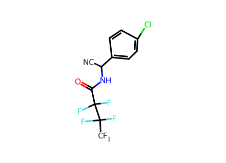 N#CC(NC(=O)C(F)(F)C(F)(F)C(F)(F)F)c1ccc(Cl)cc1